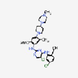 C#Cc1ccc(Cl)cc1Nc1nc(Nc2cc(C)c(N3CCC(N4CCN(C)CC4)CC3)cc2OC)ncc1Cl